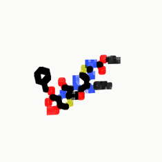 CO/N=C(/C(=O)N[C@@H]1C(=O)N2C(C(=O)OCc3ccccc3)C(O)CS[C@H]12)c1csc(NC(=O)OC(C)(C)C)n1